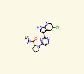 CCN(C)C(=O)[C@H]1CCCN1c1ccnc(-c2c[nH]c3c2=CC(Cl)CN=3)n1